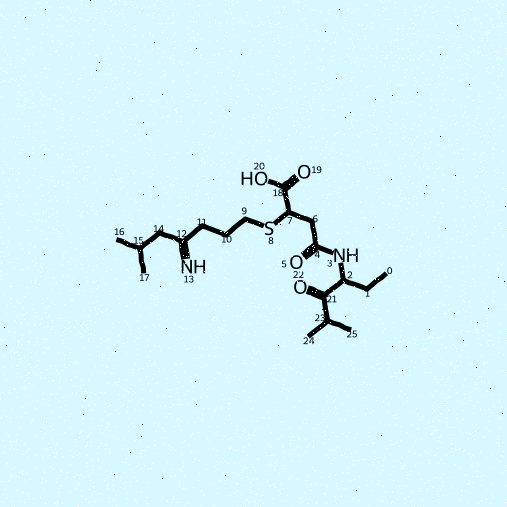 CCC(NC(=O)CC(SCCCC(=N)CC(C)C)C(=O)O)C(=O)C(C)C